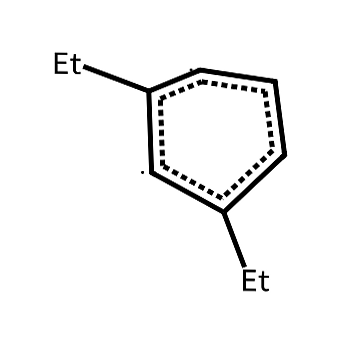 CCc1[c]ccc(CC)[c]1